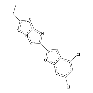 CCc1nn2cc(-c3cc4c(Cl)cc(Cl)cc4o3)nc2s1